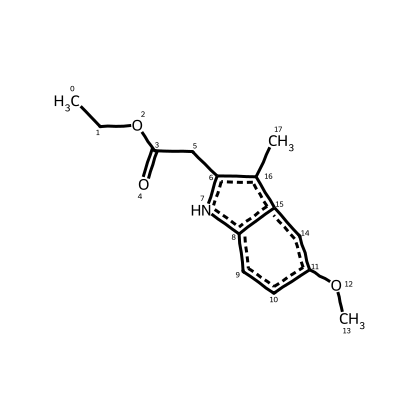 CCOC(=O)Cc1[nH]c2ccc(OC)cc2c1C